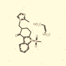 Cc1nccn1CC1CCc2c(c3ccccc3n2S(C)(=O)=O)C1=O.O=C(O)/C=C\C(=O)O